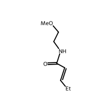 CC/C=C/C(=O)NCCOC